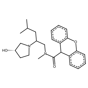 CC(C)CC(CN(C)C(=O)C1c2ccccc2Oc2ccccc21)N1CC[C@H](O)C1